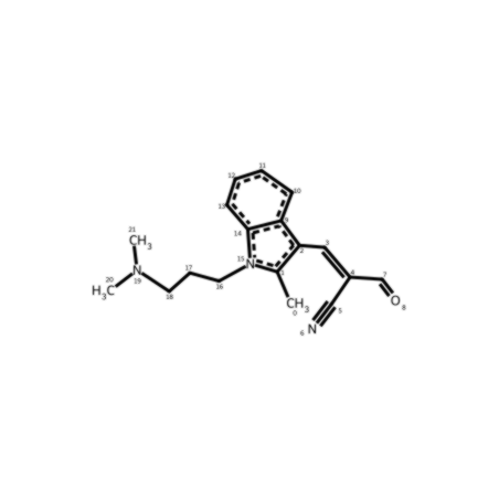 Cc1c(/C=C(\C#N)C=O)c2ccccc2n1CCCN(C)C